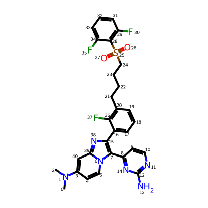 CN(C)c1ccn2c(-c3ccnc(N)n3)c(-c3cccc(CCCCS(=O)(=O)c4c(F)cccc4F)c3F)nc2c1